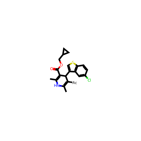 CC(=O)C1=C(C)NC(C)=C(C(=O)OCC2CC2)C1c1csc2ccc(Cl)cc12